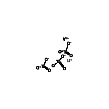 [Li+].[O]=[Ti]([O-])[O-].[O]=[Ti]([O-])[O-].[O]=[Ti]([O-])[O-].[V+5]